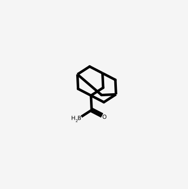 BC(=O)C12CC3CC(CC(C3)C1)C2